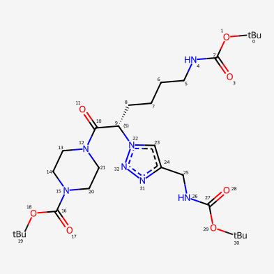 CC(C)(C)OC(=O)NCCCC[C@@H](C(=O)N1CCN(C(=O)OC(C)(C)C)CC1)n1cc(CNC(=O)OC(C)(C)C)nn1